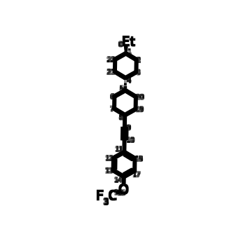 CC[C@H]1CC[C@H](C2CCC(C#Cc3ccc(OC(F)(F)F)cc3)CC2)CC1